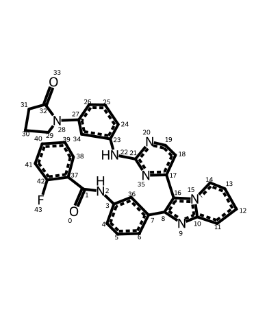 O=C(Nc1cccc(-c2nc3ccccn3c2-c2ccnc(Nc3cccc(N4CCCC4=O)c3)n2)c1)c1ccccc1F